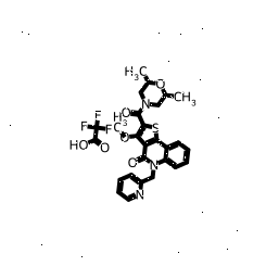 COc1c(C(=O)N2CC(C)OC(C)C2)sc2c1c(=O)n(Cc1ccccn1)c1ccccc21.O=C(O)C(F)(F)F